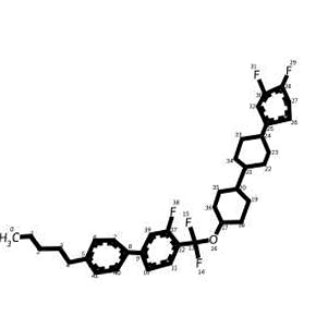 CCCCCc1ccc(-c2ccc(C(F)(F)OC3CCC(C4CCC(c5ccc(F)c(F)c5)CC4)CC3)c(F)c2)cc1